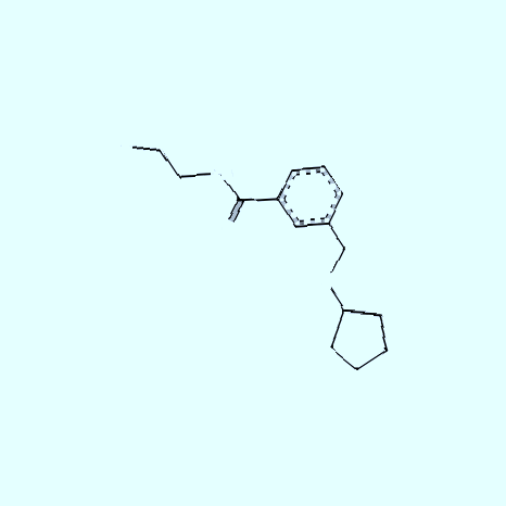 O=C(NCCO)c1cccc(COC2CCCC2)c1